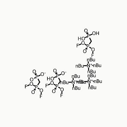 CCCC[N+](CCCC)(CCCC)CCCC.CCCC[N+](CCCC)(CCCC)CCCC.CCCC[N+](CCCC)(CCCC)CCCC.O=P(O)(O)CP(=O)(OF)OF.O=P([O-])(O)CP(=O)(OF)OF.O=P([O-])([O-])CP(=O)(OF)OF